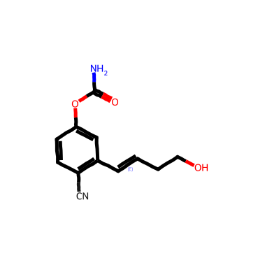 N#Cc1ccc(OC(N)=O)cc1/C=C/CCO